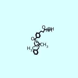 CC1CN(C(=O)c2ccc(CCC(=O)NO)cc2)C[C@@H](C)N1Cc1ccccc1